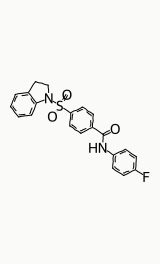 O=C(Nc1ccc(F)cc1)c1ccc(S(=O)(=O)N2CCc3ccccc32)cc1